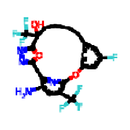 Nc1cc(C(F)(F)F)c2nc1-c1nnc(o1)C(O)(C(F)(F)F)CCCCc1cc(F)cc(c1)O2